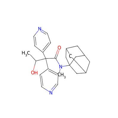 CC(O)C(C(=O)N(C)C12CC3CC(CC(C3)C1)C2)(c1ccncc1)c1ccncc1